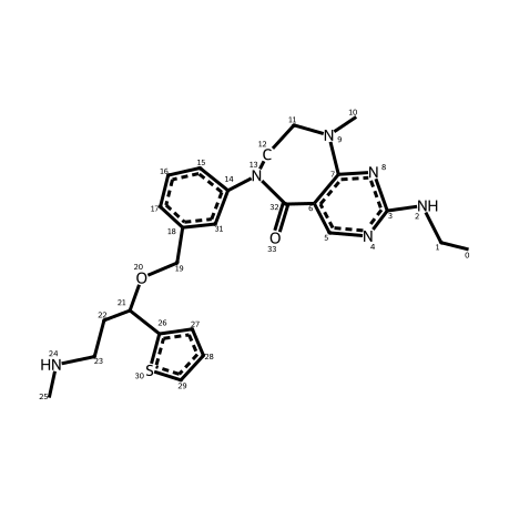 CCNc1ncc2c(n1)N(C)CCN(c1cccc(COC(CCNC)c3cccs3)c1)C2=O